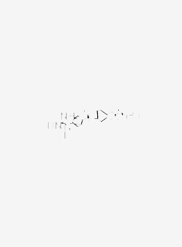 CCCCNC(=O)Cc1ccc(OC(=O)c2ccc(NC(=N)N)cc2)cc1